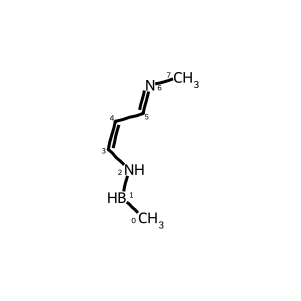 CBN/C=C\C=N\C